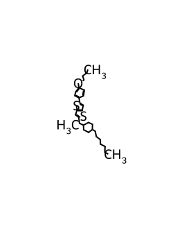 CCCCCCCC1CCC(C(C)c2cc3sc(-c4ccc(OCCCC)cc4)cc3s2)CC1